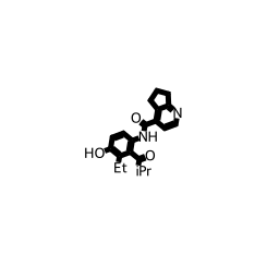 CCc1c(O)ccc(NC(=O)c2ccnc3c2CCC3)c1C(=O)C(C)C